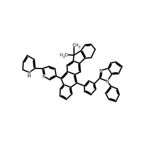 CC1(C)C2=C(CCC=C2)c2cc3c(-c4cccc(-c5nc6ccccc6n5-c5ccccc5)c4)c4ccccc4c(-c4ccc(C5=CC=CCN5)nc4)c3cc21